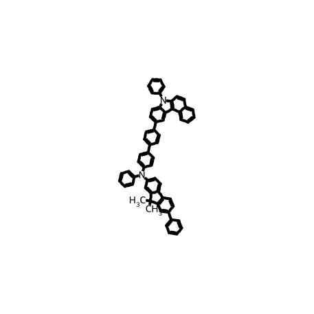 CC1(C)c2cc(-c3ccccc3)ccc2-c2ccc(N(c3ccccc3)c3ccc(-c4ccc(-c5ccc6c(c5)c5c7ccccc7ccc5n6-c5ccccc5)cc4)cc3)cc21